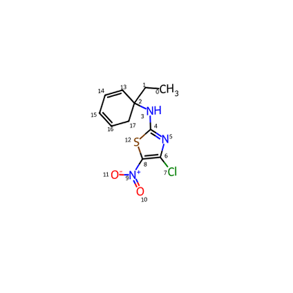 CCC1(Nc2nc(Cl)c([N+](=O)[O-])s2)C=CC=CC1